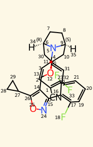 N#Cc1ccc(N2[C@@H]3CC[C@H]2C[C@@H](OCc2c(-c4c(F)cccc4F)noc2C2CC2)C3)cc1F